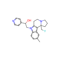 Cc1ccc2c(c1)c1c(n2CC(O)c2ccncc2)CCN2CCCC12CF